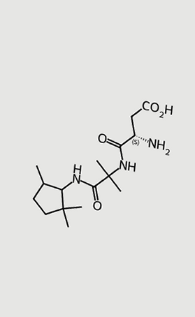 CC1CCC(C)(C)C1NC(=O)C(C)(C)NC(=O)[C@@H](N)CC(=O)O